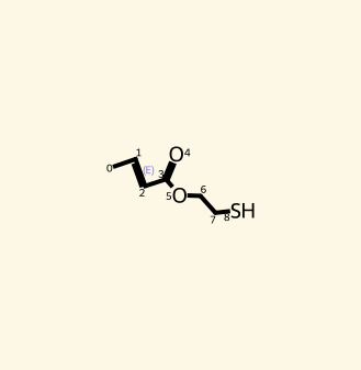 C/C=C/C(=O)OCCS